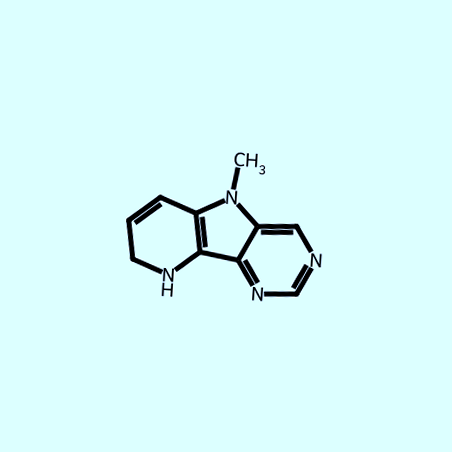 Cn1c2c(c3ncncc31)NCC=C2